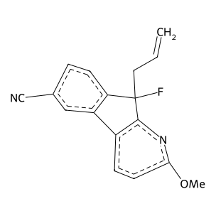 C=CCC1(F)c2ccc(C#N)cc2-c2ccc(OC)nc21